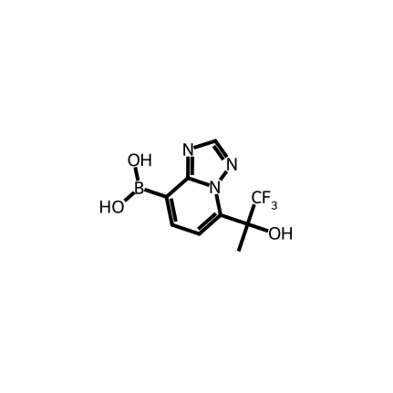 CC(O)(c1ccc(B(O)O)c2ncnn12)C(F)(F)F